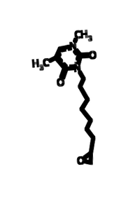 Cc1cn(C)c(=O)n(CCCCCCCC2CO2)c1=O